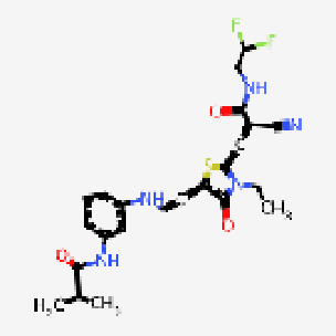 CCn1c(=C=C(C#N)C(=O)NCC(F)F)sc(=C=CNc2cccc(NC(=O)C(C)C)c2)c1=O